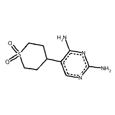 Nc1ncc(C2CCS(=O)(=O)CC2)c(N)n1